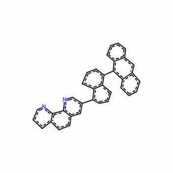 c1ccc2c(-c3cccc4c(-c5cnc6c(ccc7cccnc76)c5)cccc34)c3ccccc3cc2c1